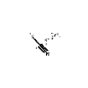 N#C[S-].[CaH2].[K+]